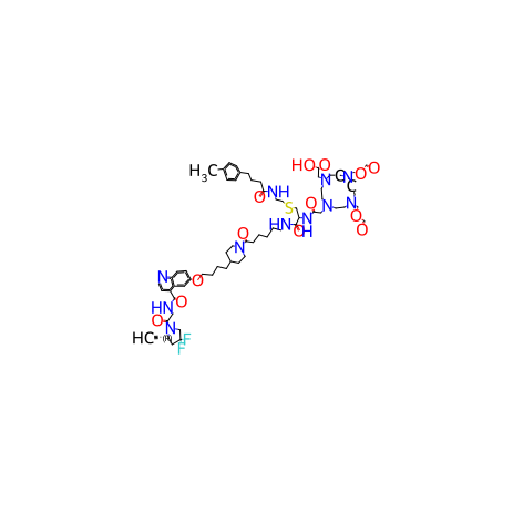 C#C[C@H]1CC(F)(F)CN1C(=O)CNC(=O)c1ccnc2ccc(OCCCCC3CCN(C(=O)CCCCCNC(=O)C(CSCCNC(=O)CCCc4ccc(C)cc4)NC(=O)CN4CCN(COC=O)CCN(COC=O)CCN(CC(=O)O)CC4)CC3)cc12